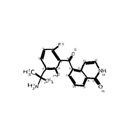 CC(C)(N)c1ccc(F)c(C(=O)c2cccc3c(=O)[nH]ccc23)c1F